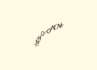 CC(C)(C)N1CCN(CCOCCOCN2CCN(C(C)(C)C)CC2)CC1